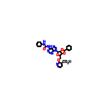 O=C(Nc1ccccc1)Nc1ncnc2c1ncn2C1OC(COc2ncccc2C(=O)O)C2OC(c3ccccc3)OC21